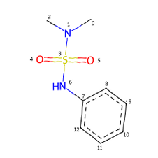 CN(C)S(=O)(=O)Nc1c[c]ccc1